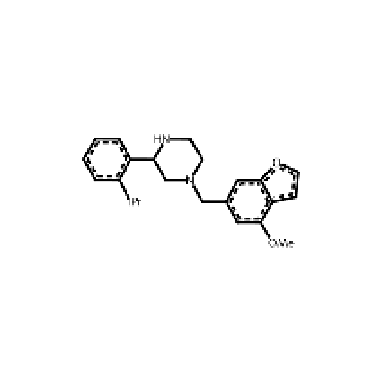 COc1cc(CN2CCNC(c3ccccc3C(C)C)C2)cc2occc12